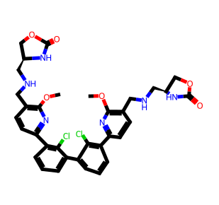 COc1nc(-c2cccc(-c3cccc(-c4ccc(CNC[C@H]5COC(=O)N5)c(OC)n4)c3Cl)c2Cl)ccc1CNC[C@H]1COC(=O)N1